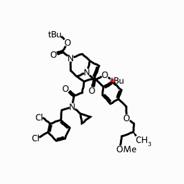 COC[C@H](C)COCc1ccc(C2=CC3CN(C(=O)OC(C)(C)C)CC(C2CC(=O)N(Cc2cccc(Cl)c2Cl)C2CC2)N3C(=O)OC(C)(C)C)cc1